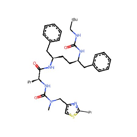 CC(C)c1nc(CN(C)C(=O)N[C@H](C(=O)N[C@H](CC[C@H](Cc2ccccc2)NC(=O)NCC(C)(C)C)Cc2ccccc2)C(C)C)cs1